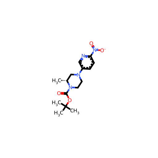 C[C@@H]1CN(c2ccc([N+](=O)[O-])nc2)CCN1C(=O)OC(C)(C)C